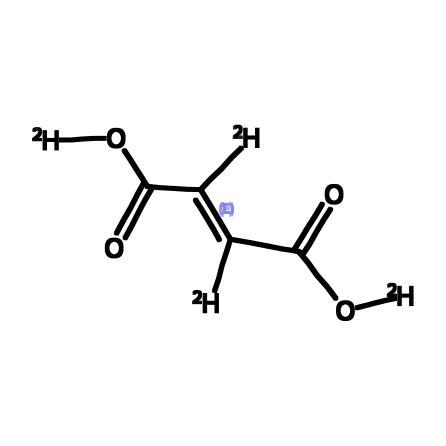 [2H]OC(=O)/C([2H])=C(\[2H])C(=O)O[2H]